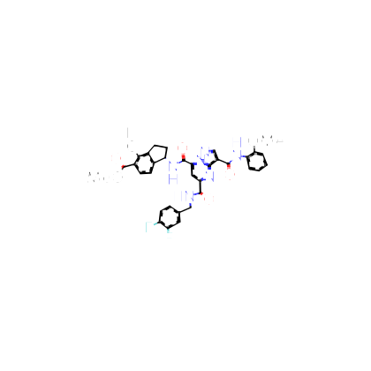 COC(=O)c1ccc2c(c1C)CC[C@@H]2NC(=O)c1cc(C(=O)NCc2ccc(F)c(F)c2)nc2c(C(=O)Nc3ccccc3OC)cnn12